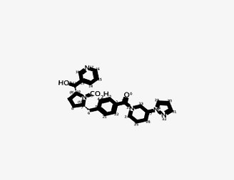 O=C(c1ccc(C[C@@H]2CC[C@H](C(O)c3cccnc3)N2C(=O)O)cc1)N1CCCC(n2cccn2)C1